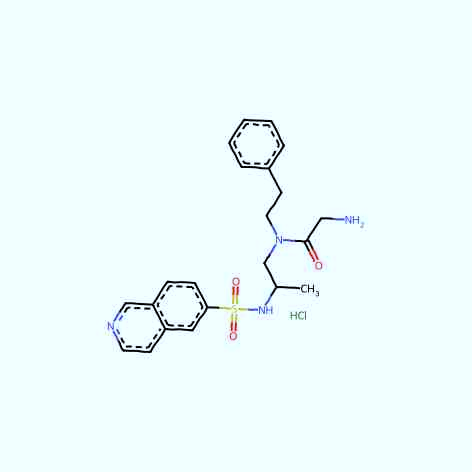 CC(CN(CCc1ccccc1)C(=O)CN)NS(=O)(=O)c1ccc2cnccc2c1.Cl